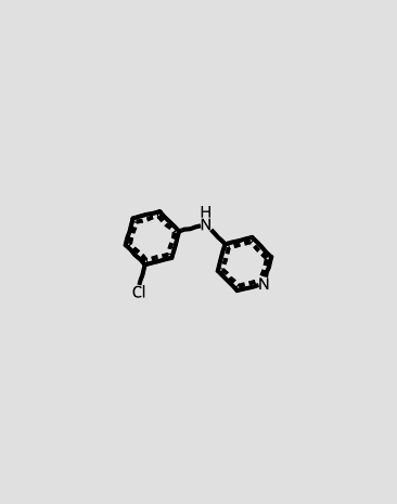 Clc1cccc(Nc2ccncc2)c1